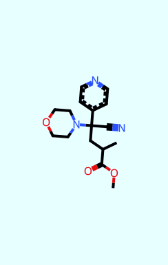 COC(=O)C(C)CC(C#N)(c1ccncc1)N1CCOCC1